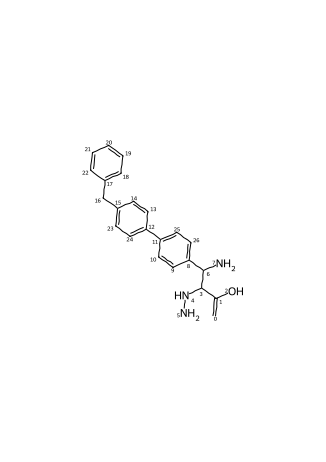 C=C(O)C(NN)C(N)c1ccc(-c2ccc(Cc3ccccc3)cc2)cc1